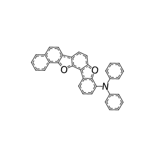 c1ccc(N(c2ccccc2)c2cccc3c2oc2ccc4c5ccc6ccccc6c5oc4c23)cc1